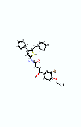 CCOc1ccc(C(=O)CCC(=O)Nc2cc(-c3ccccc3)c(Cc3ccccc3)s2)cc1Br